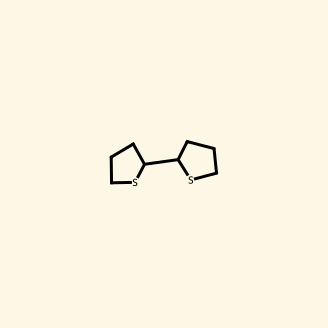 C1CSC(C2CCCS2)C1